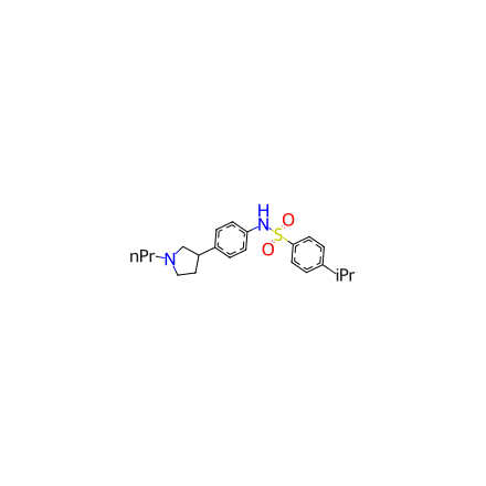 CCCN1CCC(c2ccc(NS(=O)(=O)c3ccc(C(C)C)cc3)cc2)C1